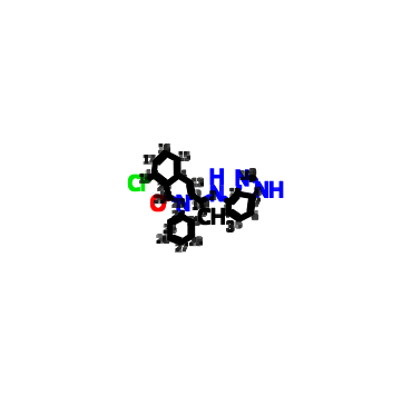 C[C@H](Nc1cccc2[nH]cnc12)c1cc2cccc(Cl)c2c(=O)n1-c1ccccc1